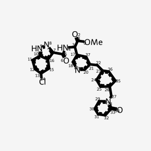 COC(=O)C(NC(=O)c1n[nH]c2ccc(Cl)cc12)c1cncc(Cc2ccc(Cn3ccccc3=O)cc2)c1